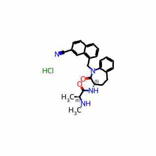 CN[C@@H](C)C(=O)N[C@H]1CCc2ccccc2N(Cc2cccc3ccc(C#N)cc23)C1=O.Cl